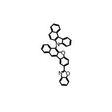 c1ccc2c(-n3c4ccccc4c4c5ccccc5ccc43)c3oc4ccc(-c5nc6ccccc6o5)cc4c3cc2c1